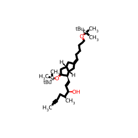 CC#CC[C@H](C)[C@H](O)/C=C/[C@H]1C(O[Si](C)(C)C(C)(C)C)C[C@@H]2C/C(=C\CCCCO[Si](C)(C)C(C)(C)C)C[C@@H]21